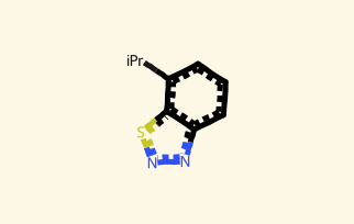 CC(C)c1cccc2nnsc12